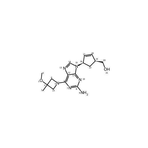 COC1(C)CN(c2nc(N)nc3c2ncn3[C@H]2C=C[C@@H](CO)C2)C1